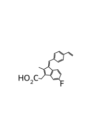 C=Cc1ccc(/C=C2/C(C)=C(CC(=O)O)c3cc(F)ccc32)cc1